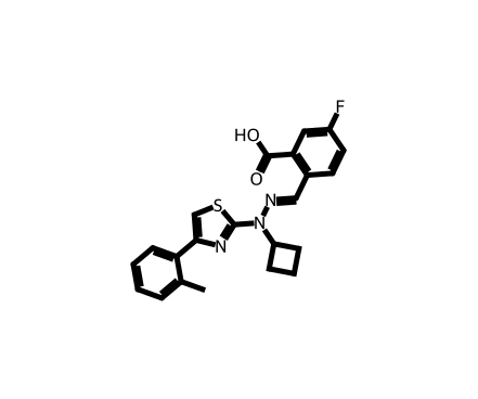 Cc1ccccc1-c1csc(N(/N=C/c2ccc(F)cc2C(=O)O)C2CCC2)n1